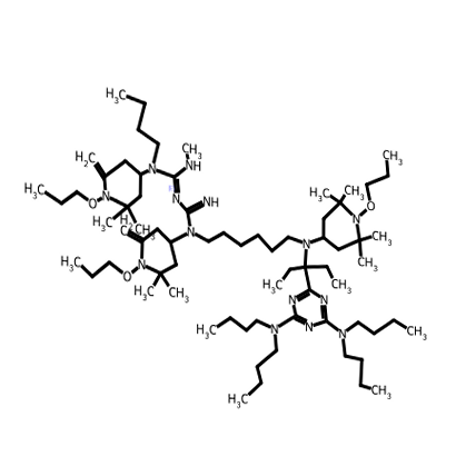 C=C1CC(N(CCCCCCN(C2CC(C)(C)N(OCCC)C(C)(C)C2)C(CC)(CC)c2nc(N(CCCC)CCCC)nc(N(CCCC)CCCC)n2)C(=N)/N=C(\NC)N(CCCC)C2CC(=C)N(OCCC)C(C)(C)C2)CC(C)(C)N1OCCC